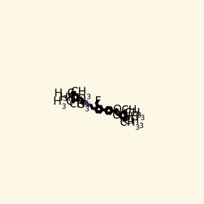 CC1(C)CC(OC(=O)/C=C/CCc2ccc(-c3ccc(C(=O)OC4CC(C)(C)NC(C)(C)C4)cc3)cc2CF)CC(C)(C)N1